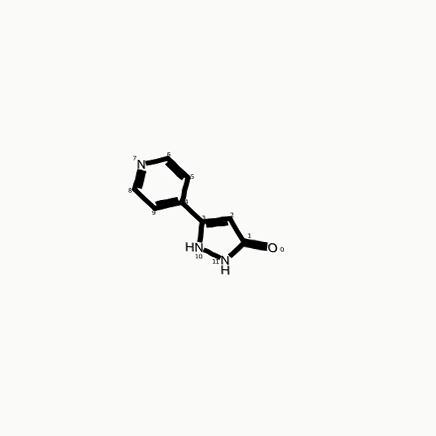 O=c1cc(-c2ccncc2)[nH][nH]1